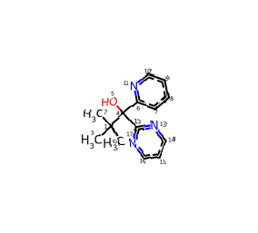 CC(C)(C)C(O)(c1ccccn1)c1ncccn1